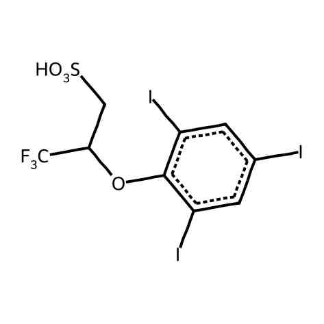 O=S(=O)(O)CC(Oc1c(I)cc(I)cc1I)C(F)(F)F